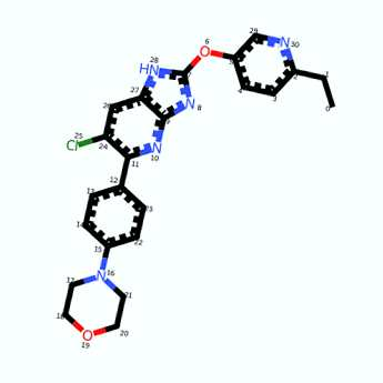 CCc1ccc(Oc2nc3nc(-c4ccc(N5CCOCC5)cc4)c(Cl)cc3[nH]2)cn1